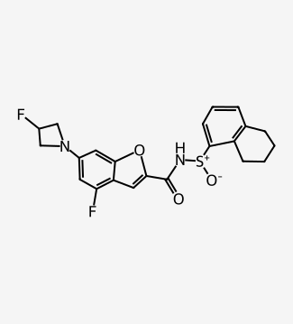 O=C(N[S+]([O-])c1cccc2c1CCCC2)c1cc2c(F)cc(N3CC(F)C3)cc2o1